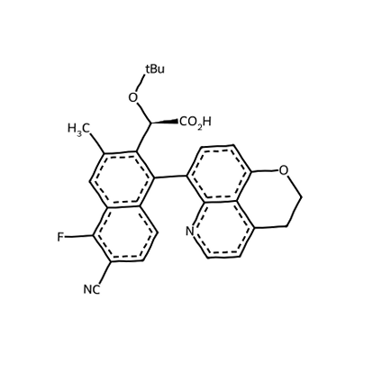 Cc1cc2c(F)c(C#N)ccc2c(-c2ccc3c4c(ccnc24)CCO3)c1[C@@H](OC(C)(C)C)C(=O)O